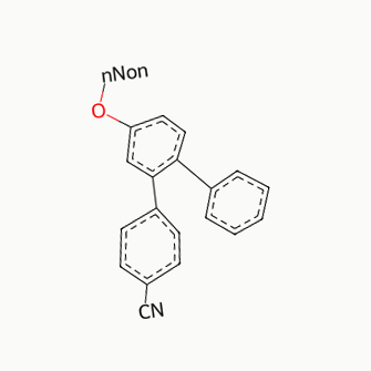 CCCCCCCCCOc1ccc(-c2ccccc2)c(-c2ccc(C#N)cc2)c1